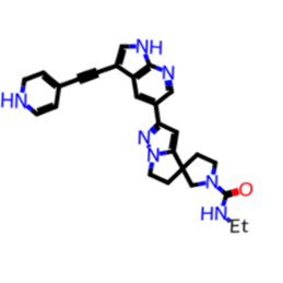 CCNC(=O)N1CCC2(CCn3nc(-c4cnc5[nH]cc(C#CC6=CCNC=C6)c5c4)cc32)C1